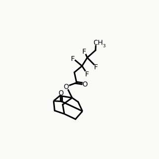 CCC(F)(F)C(F)(F)CC(=O)OC12CC3CC(C1)C(=O)C(C3)C2